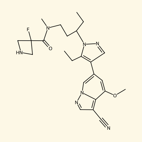 CCc1c(-c2cc(OC)c3c(C#N)cnn3c2)cnn1C(CC)CCN(C)C(=O)C1(F)CNC1